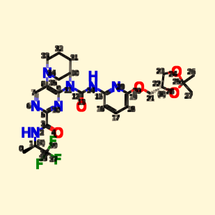 C[C@@H](NC(=O)c1ncc2c(n1)N(C(=O)Nc1cccc(OC[C@@H]3COC(C)(C)O3)n1)C1CCCN2C1)C(F)(F)F